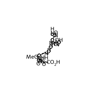 COc1ccc(C#CCNC2(C)CCN(C3CCN(c4nc([C@@](CO)(OC5CC5)c5ccccc5)c5cc(-c6cn(C)c(=O)c7[nH]ccc67)ccc5n4)CC3)CC2)cc1N1CCC(=O)N(CNC(=O)CCC(=O)O)C1=O